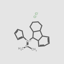 C[Si](C)=[Zr+2]([C]1=CC=CC1)[CH]1C2C=CC=CC2C2CCCCC21.[Cl-].[Cl-]